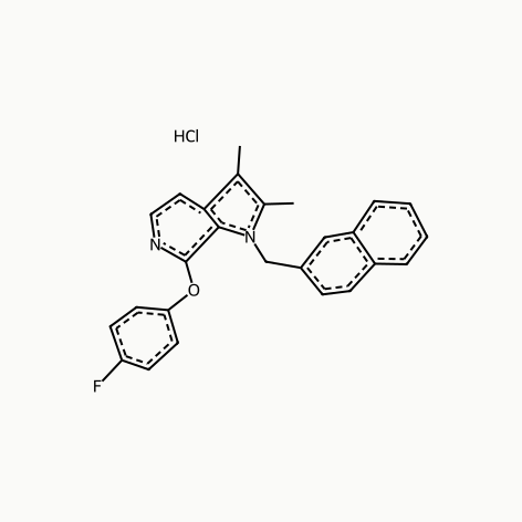 Cc1c(C)n(Cc2ccc3ccccc3c2)c2c(Oc3ccc(F)cc3)nccc12.Cl